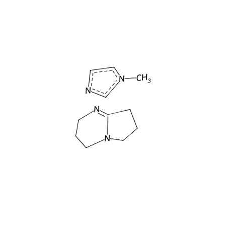 C1CN=C2CCCN2C1.Cn1ccnc1